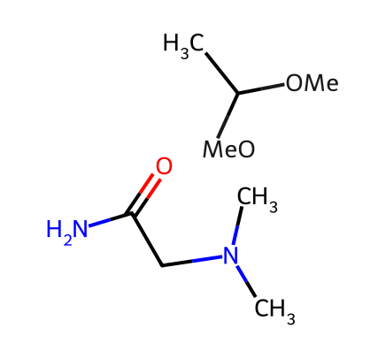 CN(C)CC(N)=O.COC(C)OC